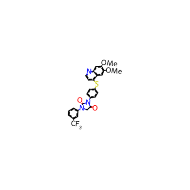 COc1cc2nccc(Sc3ccc(N4C(=O)CN(c5cccc(C(F)(F)F)c5)C4=O)cc3)c2cc1OC